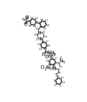 CN(C)CC[C@H](CSc1ccccc1)Nc1ccc(S(=O)(=O)NC(=O)c2ccc(N3CCN(Cc4ccccc4-c4ccc(S(C)(=O)=O)cc4)CC3)cc2)cc1[N+](=O)[O-]